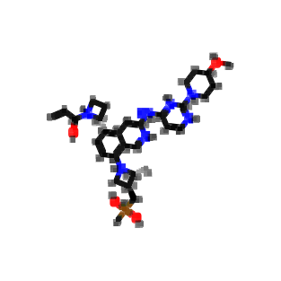 C=CC(=O)N1CC[C@@H]1c1ccc(N2C[C@H](CS(C)(=O)=O)[C@H]2C)c2cnc(Nc3ccnc(N4CCC(OC)CC4)n3)cc12